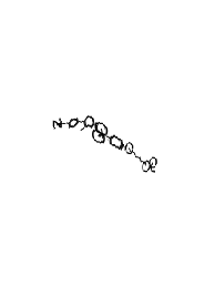 C=CC(=O)OCCCCCCOc1ccc(C(=O)Oc2ccc(-c3ccc(C#N)cc3)c(C)c2)cc1